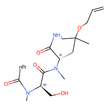 C=CCOC(C)(C)C[C@@H](C(N)=O)N(C)C(=O)[C@@H](CO)N(C)C(=O)CCC